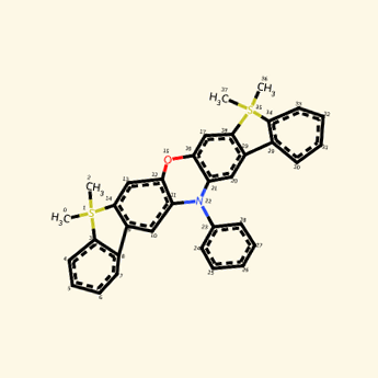 CS1(C)c2ccccc2-c2cc3c(cc21)Oc1cc2c(cc1N3c1ccccc1)-c1ccccc1S2(C)C